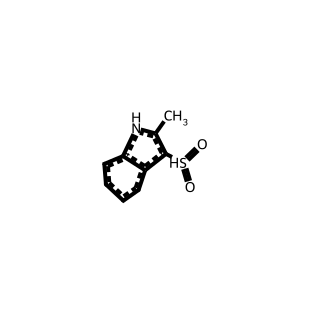 Cc1[nH]c2ccccc2c1[SH](=O)=O